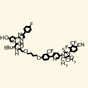 CC(C)(C)[C@H](NC(=O)COCCCCOc1ccc(-c2ncc(N3C(=S)N(c4ccc(C#N)c(C(F)(F)F)c4F)C(=O)C3(C)C)cc2F)c(C(F)(F)F)c1)C(=O)N1C[C@H](O)C[C@H]1c1nc(-c2ccc(F)cc2)c[nH]1